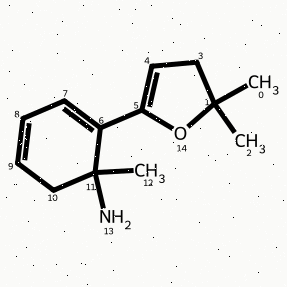 CC1(C)CC=C(C2=CC=CCC2(C)N)O1